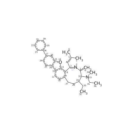 C=C1/N=C(/C=C(C)C)c2c(ccc3c2oc2cc(-c4ccccc4)ccc23)CCC(CC)C1N(C)CC